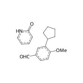 COc1ccc(C=O)cc1C1CCCC1.O=c1cccc[nH]1